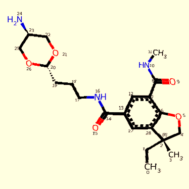 CC[C@@]1(C)COc2c(C(=O)NC)cc(C(=O)NCCC[C@H]3OC[C@H](N)CO3)cc21